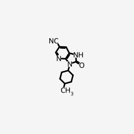 CC1CCC(n2c(=O)[nH]c3cc(C#N)cnc32)CC1